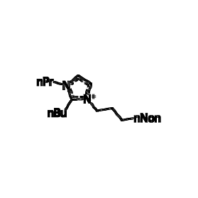 CCCCCCCCCCCC[n+]1ccn(CCC)c1CCCC